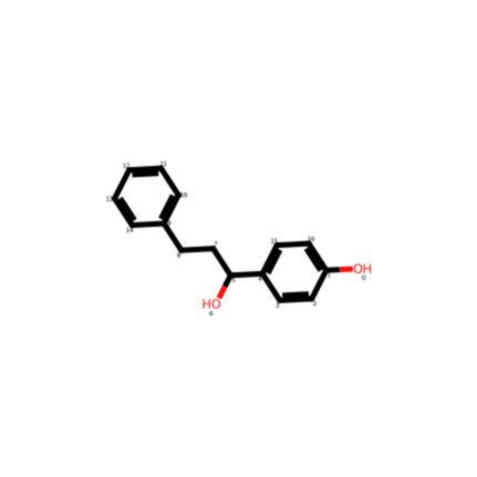 Oc1ccc(C(O)CCc2ccccc2)cc1